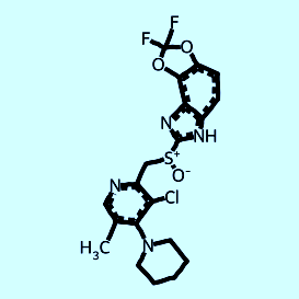 Cc1cnc(C[S+]([O-])c2nc3c4c(ccc3[nH]2)OC(F)(F)O4)c(Cl)c1N1CCCCC1